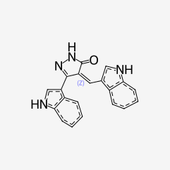 O=C1NN=C(c2c[nH]c3ccccc23)/C1=C/c1c[nH]c2ccccc12